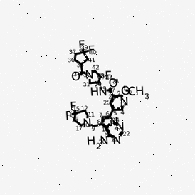 COc1ncc(-c2cc(CN3CCC(F)(F)CC3)c3c(N)ncnn23)cc1C(=O)N[C@@H]1CN(C(=O)C2CCC(F)(F)C2)C[C@@H]1F